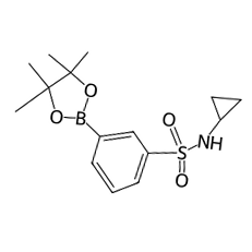 CC1(C)OB(c2cccc(S(=O)(=O)NC3CC3)c2)OC1(C)C